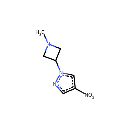 CN1CC(n2cc([N+](=O)[O-])cn2)C1